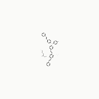 COc1cc(/C=C/c2ccccc2)c(OCCC(C)CCCC(C)C)cc1/C=C/c1ccc(N(c2ccc(C)cc2)c2ccc(/C=C/c3ccccc3)cc2)cc1